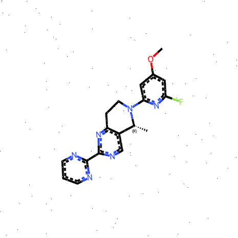 COc1cc(F)nc(N2CCc3nc(-c4ncccn4)ncc3[C@H]2C)c1